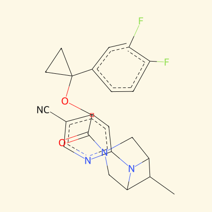 CC1C2CN(C(=O)COC3(c4ccc(F)c(F)c4)CC3)CC1N2c1ccc(C#N)cn1